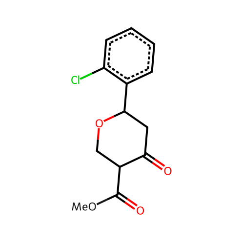 COC(=O)C1COC(c2ccccc2Cl)CC1=O